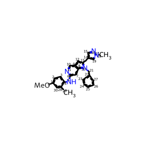 COc1ccc(Nc2cc3c(cn2)cc(-c2cnn(C)c2)n3Cc2ccccc2)c(C)c1